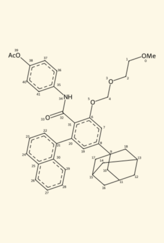 COCCOCOc1cc(C23CC4CC(CC(C4)C2)C3)cc(-c2cccc3ccccc23)c1C(=O)Nc1ccc(OC(C)=O)cc1